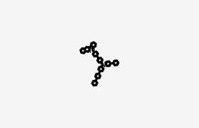 c1ccc(-c2ccc(-c3ccc(N(c4ccc(-c5ccccc5)cc4)c4ccc(-c5ccc(-n6c7ccccc7c7cc8ccccc8cc76)cc5)cc4)cc3)cc2)cc1